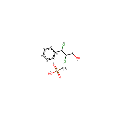 CS(=O)(=O)O.OCC(Cl)C(Cl)c1ccccc1